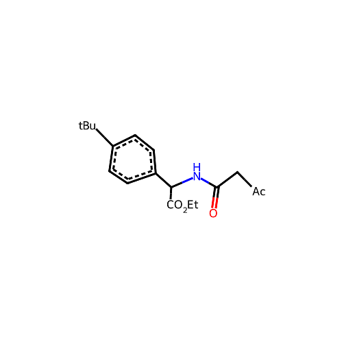 CCOC(=O)C(NC(=O)CC(C)=O)c1ccc(C(C)(C)C)cc1